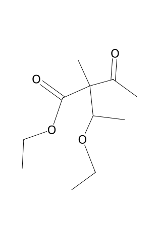 CCOC(=O)C(C)(C(C)=O)C(C)OCC